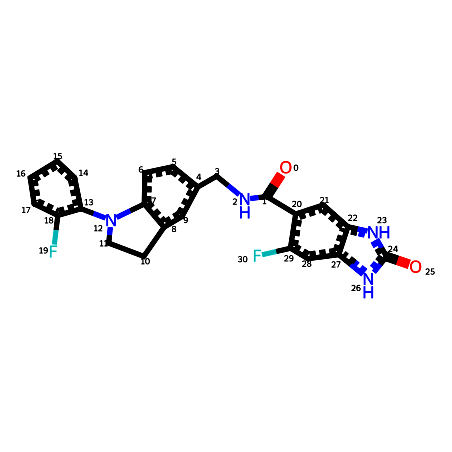 O=C(NCc1ccc2c(c1)CCN2c1ccccc1F)c1cc2[nH]c(=O)[nH]c2cc1F